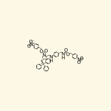 O=C(NCc1ccc(NCC2CC(SC(c3ccccc3)(c3ccccc3)c3ccccc3)CN2C(=O)OCc2ccc([N+](=O)[O-])cc2)cc1)OCc1ccc([N+](=O)[O-])cc1